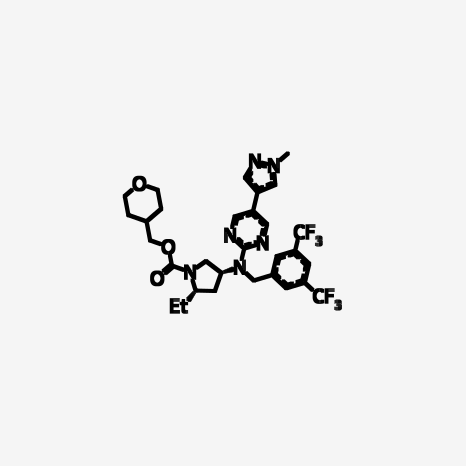 CC[C@@H]1C[C@H](N(Cc2cc(C(F)(F)F)cc(C(F)(F)F)c2)c2ncc(-c3cnn(C)c3)cn2)CN1C(=O)OCC1CCOCC1